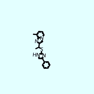 Cc1cccn2cc(C(C)Sc3nc(-c4ccccc4)c[nH]3)nc12